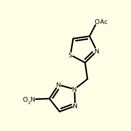 CC(=O)Oc1csc(Cn2ncc([N+](=O)[O-])n2)n1